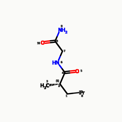 CC(C)C[C@H](C)C(=O)NCC(N)=O